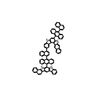 c1ccc2cc3c(cc2c1)sc1c(-c2c4ccccc4c(-c4cccc5ccccc45)c4ccccc24)cc2sc4ccc(-c5ccc(-c6c7ccccc7c(-c7c8sc9ccccc9c8cc8c7sc7c9ccccc9ccc87)c7ccccc67)c6ccccc56)cc4c2c13